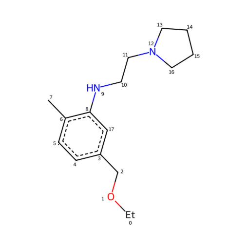 CCOCc1c[c]c(C)c(NCCN2CCCC2)c1